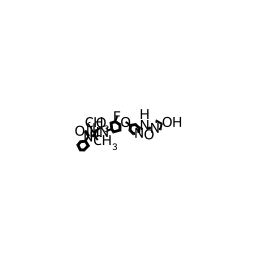 Cc1c(C(=O)Nc2ccc(Oc3ccnc(NC(=O)N4CC(O)C4)c3)c(F)c2)n(C)c(=O)n1-c1ccccc1